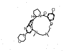 CN1CCOc2ccc(Cl)cc2C(=O)N2CCCC[C@H]2c2cc3nc(N4CCOCC4)cc(n3n2)N(C)CC1